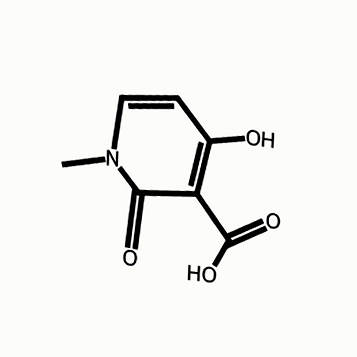 Cn1ccc(O)c(C(=O)O)c1=O